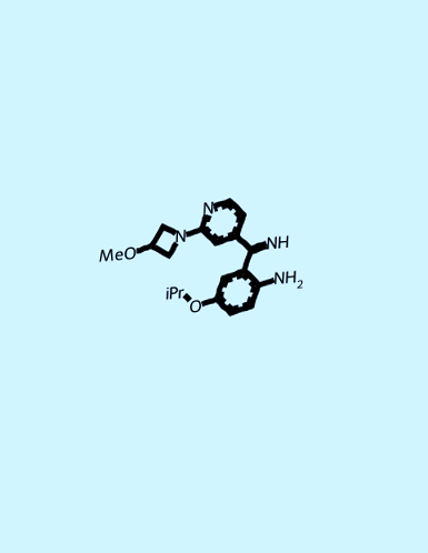 COC1CN(c2cc(C(=N)c3cc(OC(C)C)ccc3N)ccn2)C1